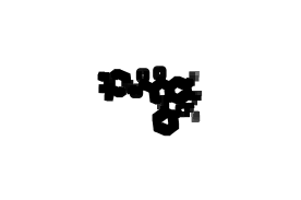 CN1CCN(OC(=O)c2cn(-c3ccccc3C(F)(F)F)c3cc(F)c(F)cc3c2=O)CC1(C)C